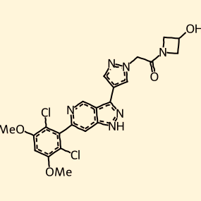 COc1cc(OC)c(Cl)c(-c2cc3[nH]nc(-c4cnn(CC(=O)N5CC(O)C5)c4)c3cn2)c1Cl